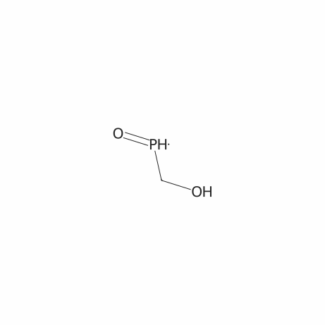 O=[PH]CO